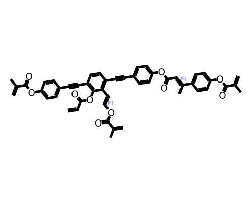 C=CC(=O)Oc1c(C#Cc2ccc(OC(=O)C(=C)C)cc2)ccc(C#Cc2ccc(OC(=O)/C=C(\C)c3ccc(OC(=O)C(=C)C)cc3)cc2)c1/C=C/OC(=O)C(=C)C